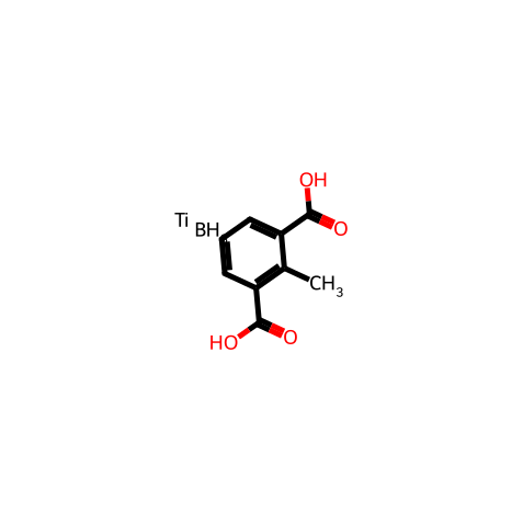 B.Cc1c(C(=O)O)cccc1C(=O)O.[Ti]